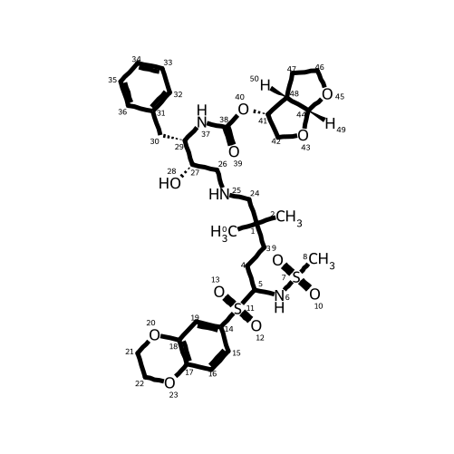 CC(C)(CCC(NS(C)(=O)=O)S(=O)(=O)c1ccc2c(c1)OCCO2)CNC[C@H](O)[C@H](Cc1ccccc1)NC(=O)O[C@H]1CO[C@H]2OCC[C@H]21